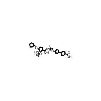 C[C@H](COc1ccc(-c2ccc(C(=O)O)cc2)cc1)NC[C@H](O)c1ccc(OCc2ccccc2)c(NS(C)(=O)=O)c1